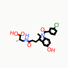 Cc1c(CCC(=O)NC[C@H](C)C(=O)O)c2cc(O)ccc2n1C(=O)c1cccc(Cl)c1